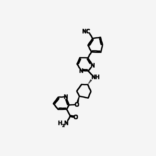 N#Cc1cccc(-c2ccnc(N[C@H]3CC[C@H](Oc4ncccc4C(N)=O)CC3)n2)c1